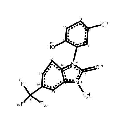 Cn1c(=O)n(-c2cc(Cl)ccc2O)c2ccc(C(F)(F)F)cc21